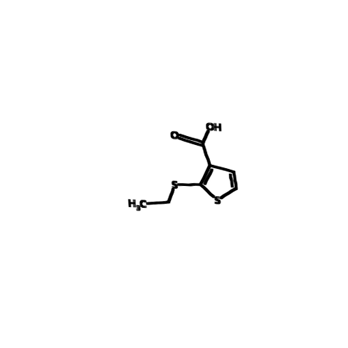 CCSc1sccc1C(=O)O